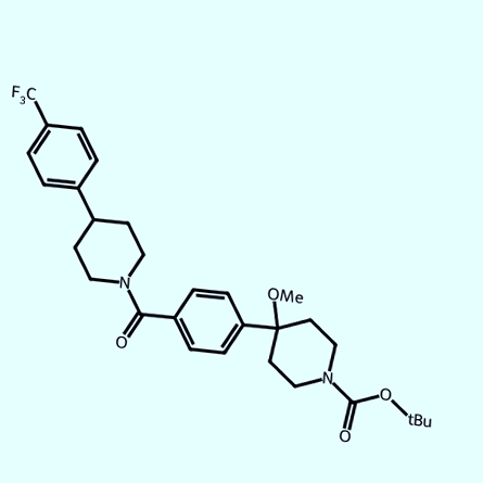 COC1(c2ccc(C(=O)N3CCC(c4ccc(C(F)(F)F)cc4)CC3)cc2)CCN(C(=O)OC(C)(C)C)CC1